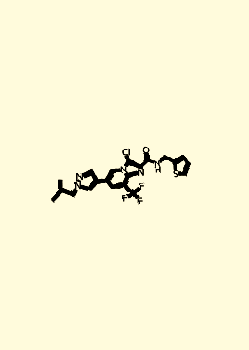 CC(C)Cn1cc(-c2cc(C(F)(F)F)c3nc(C(=O)NCc4cccs4)c(Cl)n3c2)cn1